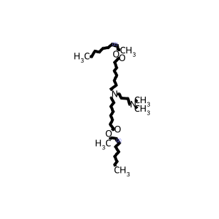 CCCCCC/C=C\C(C)OC(=O)CCCCCCCN(CCCCCCCC(=O)OC(C)/C=C\CCCCCC)CCCCN(C)C